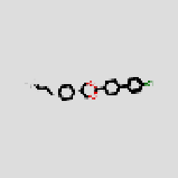 C=CCC[C@H]1CC[C@H](C2COC(C3CCC(c4ccc(Cl)cc4)CC3)OC2)CC1